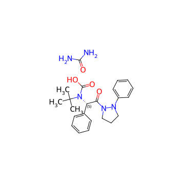 CC(C)(C)N(C(=O)O)[C@H](C(=O)N1CCCN1c1ccccc1)c1ccccc1.NC(N)=O